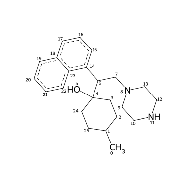 CC1CCC(O)(C(CN2CCNCC2)c2cccc3ccccc23)CC1